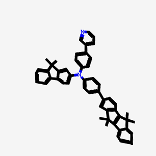 CC1(C)C2=C(c3ccccc31)C(C)(C)c1cc(-c3ccc(N(c4ccc(-c5cccnc5)cc4)c4ccc5c(c4)C(C)(C)c4ccccc4-5)cc3)ccc12